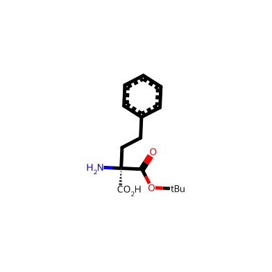 CC(C)(C)OC(=O)[C@@](N)(CCc1ccccc1)C(=O)O